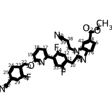 COC(=O)c1ccc2nc(Cc3cc(F)c(-c4cccc(OCc5ccc(C#N)cc5F)n4)cc3F)n(CCC#N)c2c1